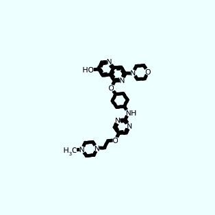 CN1CCN(CCOc2cnc(NC3CCC(Oc4nc(N5CCOCC5)cc5ncc(O)cc45)CC3)nc2)CC1